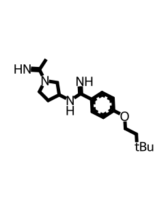 CC(=N)N1CCC(NC(=N)c2ccc(OCCC(C)(C)C)cc2)C1